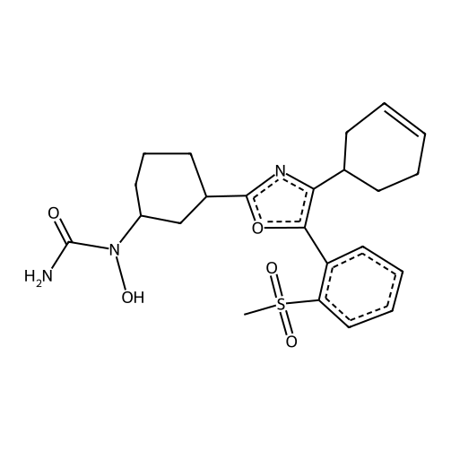 CS(=O)(=O)c1ccccc1-c1oc(C2CCCC(N(O)C(N)=O)C2)nc1C1CC=CCC1